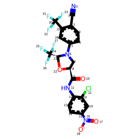 N#Cc1ccc(N2C[C@@H](C(=O)Nc3ccc([N+](=O)[O-])cc3Cl)O[C@@H]2C(F)(F)F)cc1C(F)(F)F